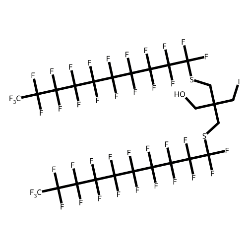 OCC(CI)(CSC(F)(F)C(F)(F)C(F)(F)C(F)(F)C(F)(F)C(F)(F)C(F)(F)C(F)(F)C(F)(F)C(F)(F)F)CSC(F)(F)C(F)(F)C(F)(F)C(F)(F)C(F)(F)C(F)(F)C(F)(F)C(F)(F)C(F)(F)C(F)(F)F